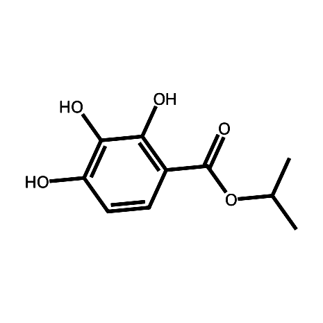 CC(C)OC(=O)c1ccc(O)c(O)c1O